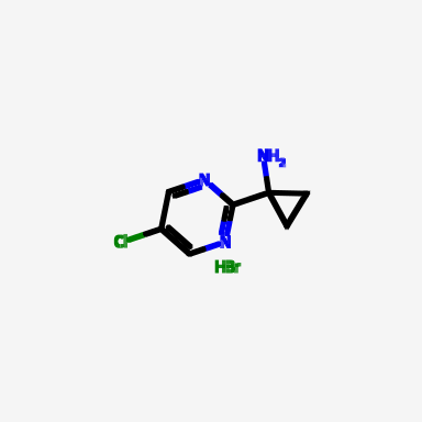 Br.NC1(c2ncc(Cl)cn2)CC1